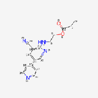 CCC(=O)OCCNc1ncc(-c2ccncc2)cc1C#N